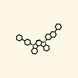 C1=CC2C(C3CCCCC3N2C2CCC3CC(C4CCCCC4)CCC3C2)C2C3CCCCC3N(C3CCC(C4CCCCC4)CC3)C12